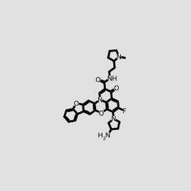 CN1CCCC1CCNC(=O)c1cn2c3c(c(N4CCC(N)C4)c(F)cc3c1=O)Oc1cc3c(cc1-2)oc1ccccc13